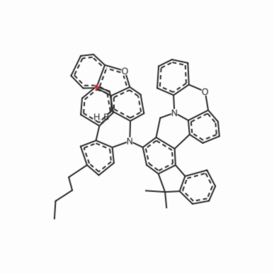 Bc1c(N(c2ccc(CCCC)cc2-c2ccccc2)c2cc3c(c4c2CN2c5ccccc5Oc5cccc-4c52)-c2ccccc2C3(C)C)ccc2oc3ccccc3c12